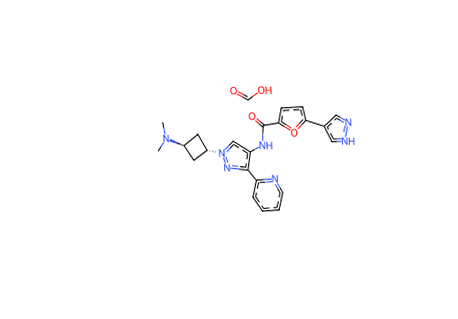 CN(C)[C@H]1C[C@H](n2cc(NC(=O)c3ccc(-c4cn[nH]c4)o3)c(-c3ccccn3)n2)C1.O=CO